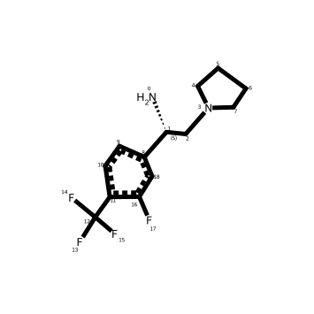 N[C@H](CN1CCCC1)c1ccc(C(F)(F)F)c(F)c1